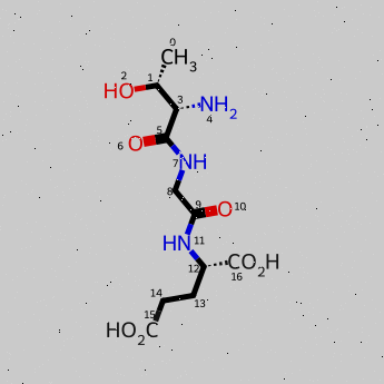 C[C@@H](O)[C@H](N)C(=O)NCC(=O)N[C@@H](CCC(=O)O)C(=O)O